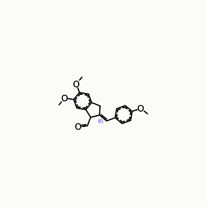 COc1ccc(/C=C2\Cc3cc(OC)c(OC)cc3C2C=O)cc1